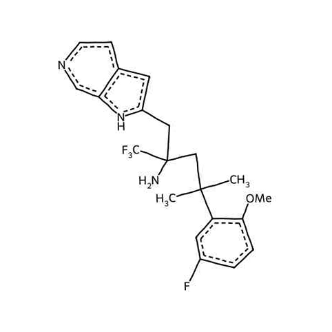 COc1ccc(F)cc1C(C)(C)CC(N)(Cc1cc2ccncc2[nH]1)C(F)(F)F